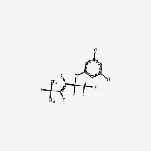 F/C(=C(/C(F)(F)F)C(F)(Oc1cc(Cl)cc(Cl)c1)C(F)(F)C(F)(F)F)C(F)(C(F)(F)F)C(F)(F)F